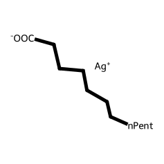 CCCCCCCCCCCC(=O)[O-].[Ag+]